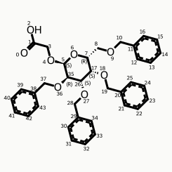 O=C(O)CO[C@H]1O[C@H](COCc2ccccc2)[C@H](OCc2ccccc2)[C@H](OCc2ccccc2)[C@H]1OCc1ccccc1